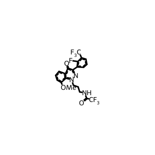 COc1cccc2c(=O)c(-c3cccc(C(F)(F)F)c3F)nn(CCCNC(=O)C(F)(F)F)c12